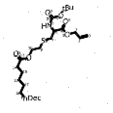 C=CCOC(=O)C(CSCCOC(=O)CCCCCCCCCCCCCCC)NC(=O)OC(C)(C)C